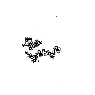 Cc1cc(Cl)c(-c2ccc(C(=O)NC3(C(=O)O)CCCCC3)nc2-c2ccc(Cl)c(OCCCN(C)C)c2)cc1C.Cc1ccccc1-c1ccc(C(=O)NC2(C(=O)O)CCCOCC2)nc1-c1ccc(Cl)c(OCCCN(C)C)c1.Cc1scnc1-c1ccc(C(=O)NC2(C(=O)O)CCCCC2)nc1-c1ccc(Cl)c(OCCCN(C)C)c1.Cl.Cl.Cl